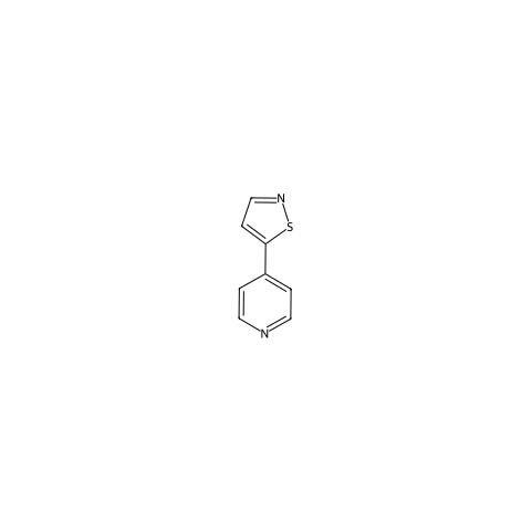 c1cc(-c2ccns2)ccn1